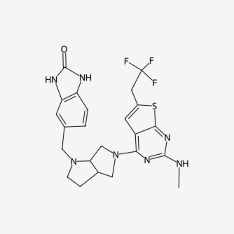 CNc1nc(N2CC3CCN(Cc4ccc5[nH]c(=O)[nH]c5c4)C3C2)c2cc(CC(F)(F)F)sc2n1